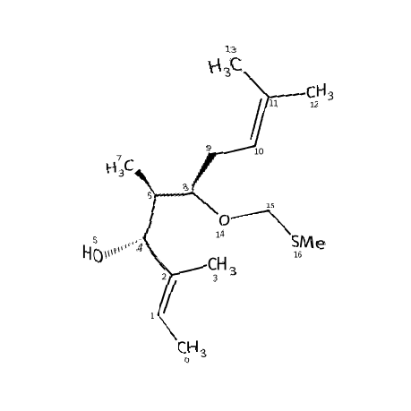 C/C=C(\C)[C@H](O)[C@@H](C)[C@@H](CC=C(C)C)OCSC